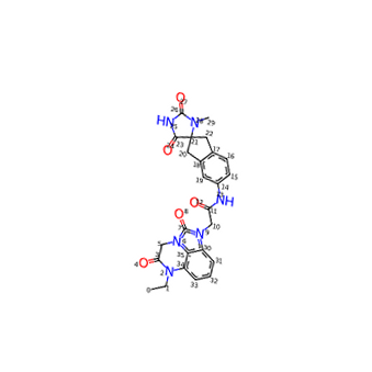 CCN1C(=O)Cn2c(=O)n(CC(=O)Nc3ccc4c(c3)CC3(C4)C(=O)NC(=O)N3C)c3cccc1c32